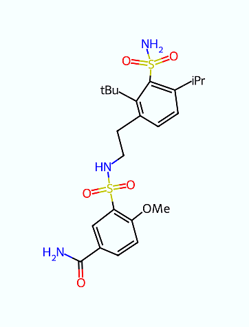 COc1ccc(C(N)=O)cc1S(=O)(=O)NCCc1ccc(C(C)C)c(S(N)(=O)=O)c1C(C)(C)C